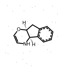 C1=CO[C@H]2Cc3ccccc3[C@H]2N1